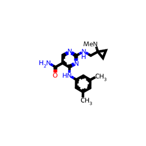 CNC1(CNc2ncc(C(N)=O)c(Nc3cc(C)cc(C)c3)n2)CC1